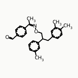 CC(=NOCC(Cc1ccc(C)c(C)c1)c1cccc(C)c1)c1ccc(C=O)cc1